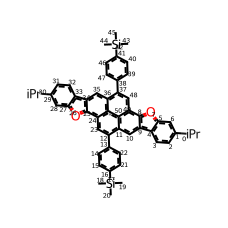 CC(C)c1ccc2c(c1)oc1c2cc2c(-c3ccc([Si](C)(C)C)cc3)cc3c4oc5cc(C(C)C)ccc5c4cc4c(-c5ccc([Si](C)(C)C)cc5)cc1c2c43